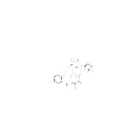 Cc1ccc(F)c(C(=O)N[C@@H](C(=O)N2CCC3(CC2)C(=O)N(C)C(=O)N3c2ccn(C)n2)C(C)C)c1